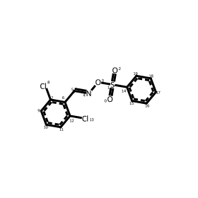 O=S(=O)(O/N=[C]/c1c(Cl)cccc1Cl)c1ccccc1